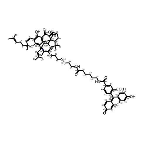 CC(C)=CCCC1(C)C=Cc2c(O)c3c(c(CC=C(C)C)c2O1)OC12C(=CC4CC1C(C)(C)OC2(C/C=C(/C)C(=O)NCCSSCCNC(=O)CCCCCNC(=O)c1ccc(-c2c5ccc(=O)cc-5oc5cc(O)ccc25)c(C(=O)O)c1)C4=O)C3=O